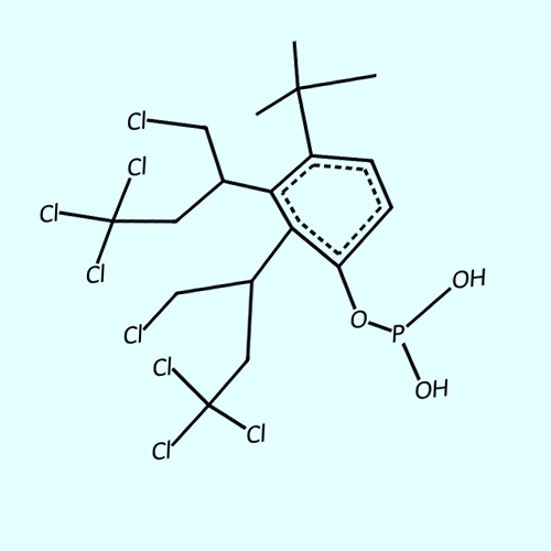 CC(C)(C)c1ccc(OP(O)O)c(C(CCl)CC(Cl)(Cl)Cl)c1C(CCl)CC(Cl)(Cl)Cl